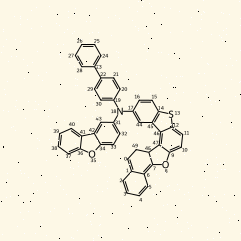 C1=c2ccccc2=C2Oc3ccc4sc5ccc(N(c6ccc(-c7ccccc7)cc6)c6ccc7oc8ccccc8c7c6)cc5c4c3C2C1